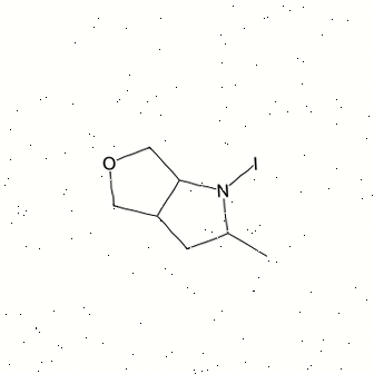 CC1CC2COCC2N1I